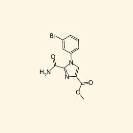 COC(=O)c1cn(-c2cccc(Br)c2)c(C(N)=O)n1